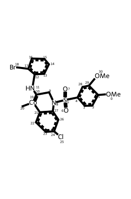 COc1ccc(S(=O)(=O)N2C[C](Nc3ccccc3Br)=[Co]([CH3])[c]3ccc(Cl)cc32)cc1OC